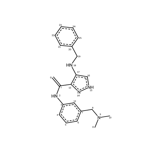 C=C(Nc1cccc(CN(C)C)c1)c1n[nH]cc1NCc1ccccc1